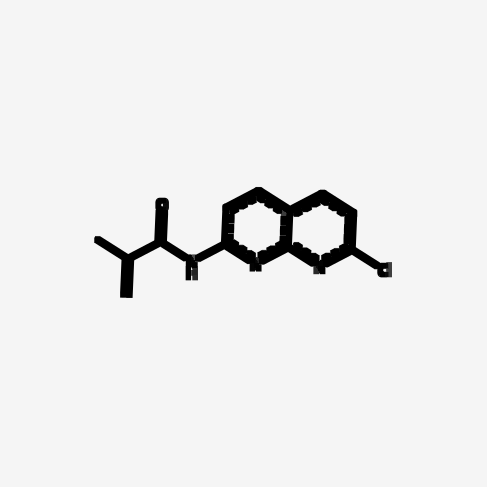 C=C(C)C(=O)Nc1ccc2ccc(Cl)nc2n1